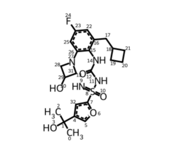 CC(C)(O)c1coc(S(=N)(=O)NC(=O)Nc2c(CC3CCC3)cc(F)cc2N2CC(O)C2)c1